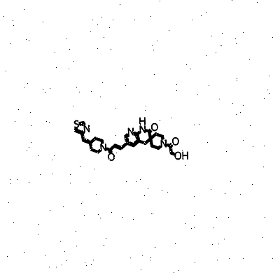 O=C(/C=C/c1cnc2c(c1)CC1(CCN(C(=O)CO)CC1)C(=O)N2)N1CCC(=Cc2cscn2)CC1